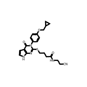 N#CCCNC(=O)CCCSc1nc2[nH]ccc2c(=O)n1-c1ccc(OCC2CC2)cc1